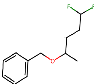 CC([CH]CC(F)F)OCc1ccccc1